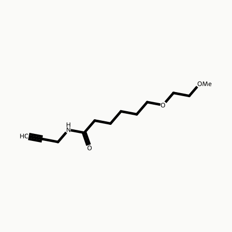 C#CCNC(=O)CCCCCOCCOC